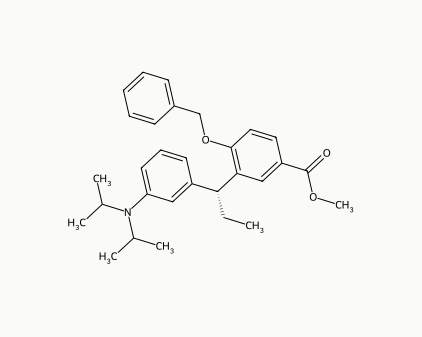 CC[C@H](c1cccc(N(C(C)C)C(C)C)c1)c1cc(C(=O)OC)ccc1OCc1ccccc1